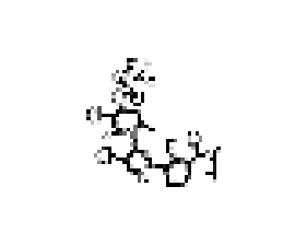 CNC(=O)c1cccc(-c2cc(-n3c(C)cc(OS(=O)(=O)C(F)(F)F)c(Cl)c3=O)c(Cl)cn2)c1F